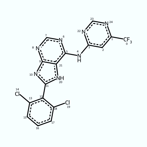 FC(F)(F)c1cc(Nc2ncnc3nc(-c4c(Cl)cccc4Cl)[nH]c23)ncn1